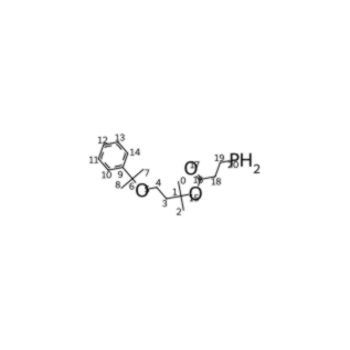 CC(C)(CCOC(C)(C)c1ccccc1)OC(=O)CCP